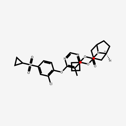 Cc1c(Oc2ccc(S(=O)(=O)C3CC3)cc2Cl)ncnc1OC1CC2CC[C@@H](C1)N2C(=O)OC1CCC1